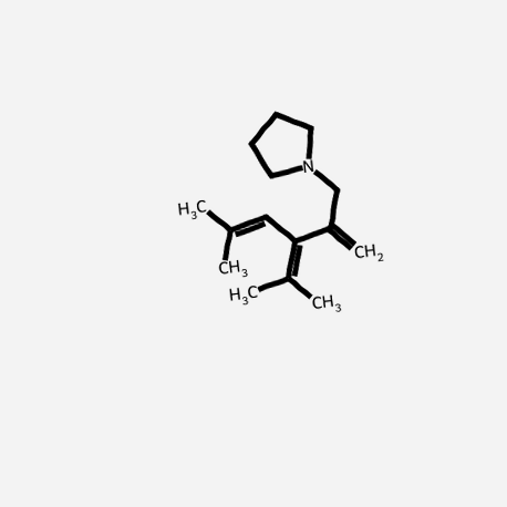 C=C(CN1CCCC1)C(C=C(C)C)=C(C)C